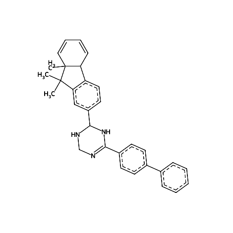 CC1(C)c2cc(C3NCN=C(c4ccc(-c5ccccc5)cc4)N3)ccc2C2C=CC=CC21C